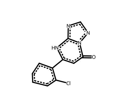 O=c1cc(-c2ccccc2Cl)[nH]c2ncnn12